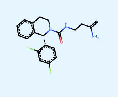 C=C(N)CCNC(=O)N1CCc2ccccc2[C@H]1c1ccc(F)cc1F